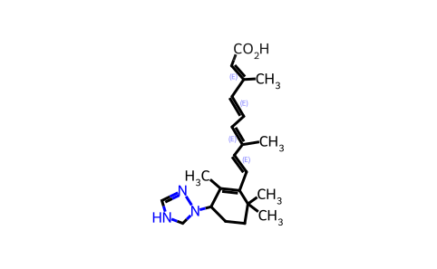 CC1=C(/C=C/C(C)=C/C=C/C(C)=C/C(=O)O)C(C)(C)CCC1N1CNC=N1